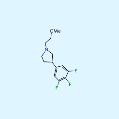 COCCN1CCC(c2cc(F)c(F)c(F)c2)C1